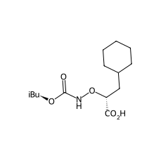 CC[C@H](C)OC(=O)NO[C@H](CC1CCCCC1)C(=O)O